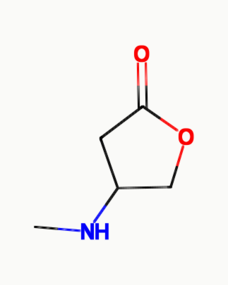 CNC1COC(=O)C1